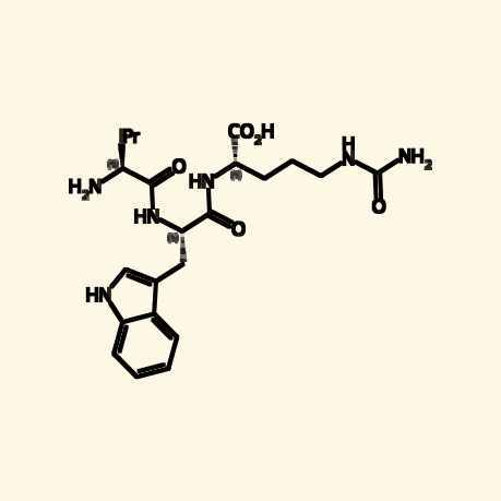 CC(C)[C@H](N)C(=O)N[C@@H](Cc1c[nH]c2ccccc12)C(=O)N[C@@H](CCCNC(N)=O)C(=O)O